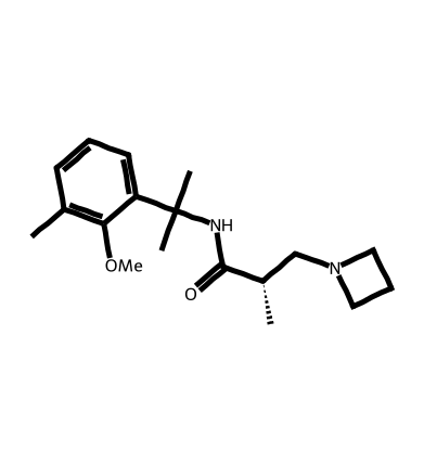 COc1c(C)cccc1C(C)(C)NC(=O)[C@@H](C)CN1CCC1